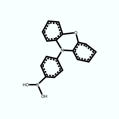 OB(O)c1ccc(N2c3ccccc3Oc3ccccc32)cc1